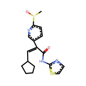 C[S+]([O-])c1ccc(C(=CC2CCCC2)C(=O)Nc2nccs2)cn1